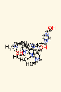 C#CCN(C)CCO.C#CCN1CCC(CCO)CC1.C#CCN1CCC(N)CC1.C#CCN1CCC(OC)(OC)CC1.C#CCN1CCN(CCO)CC1